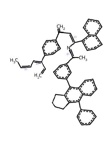 C=C/C(=C\C=C/C)c1ccc(C(=C)/C=C(\N=C(/C)c2cccc(-c3c4c(c(-c5ccccc5)c5ccccc35)CCCC4)c2)c2cccc3ccccc23)cc1